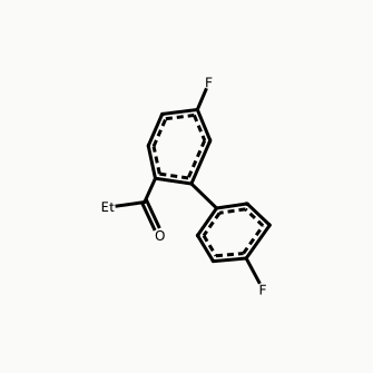 CCC(=O)c1ccc(F)cc1-c1ccc(F)cc1